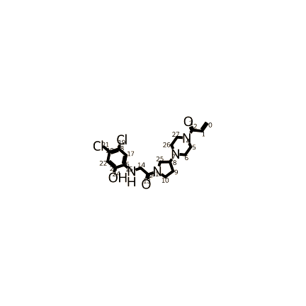 C=CC(=O)N1CCN(C2CCN(C(=O)CNc3cc(Cl)c(Cl)cc3O)C2)CC1